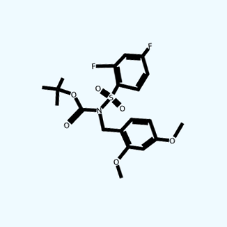 COc1ccc(CN(C(=O)OC(C)(C)C)S(=O)(=O)c2ccc(F)cc2F)c(OC)c1